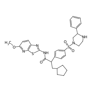 COc1ccc2nc(NC(=O)C(CC3CCCC3)c3ccc(S(=O)(=O)N4CCNC(c5ccccc5)C4)cc3)sc2n1